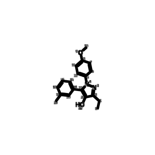 CCc1nn(-c2ccc(OC)cc2)c(-c2cccc(C)c2)c1O